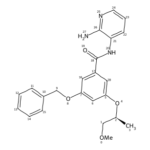 COC[C@H](C)Oc1cc(OCc2ccccc2)cc(C(=O)Nc2cccnc2N)c1